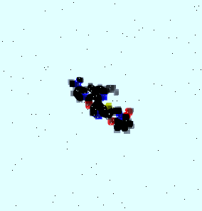 Cc1cc(C(F)(F)F)nc(-c2ccnc3cc(CN4C(=O)C(C)C(C)(C)C4=O)sc23)c1C(=O)N1CCC(N(C)C)C1